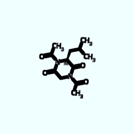 CC(=O)N1CC(=O)N(C(C)=O)[C@@H](CC(C)C)C1=O